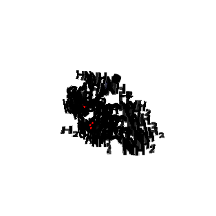 CC(=O)N[C@H](CCCNC(=N)N)C(=O)N[C@H](CCCCNC(=N)N)C(=O)N[C@H](CCCNC(=N)N)C(=O)N[C@H](CCCCNC(=N)N)C(=O)NC(CCCNC(=N)N)C(=O)N[C@H](CCCCNC(=N)N)C(=O)N[C@H](CCCCN/C(N)=N/C1CCC1)C(=O)N[C@H](CCCCNC(=N)N)C(=O)N[C@H](CCCNC(=N)N)C(=O)N[C@H](CS)C(=O)NCCOCC(=O)N[C@@H](Cc1ccc(C(C)=O)cc1)C(N)=O